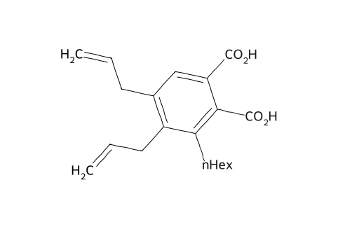 C=CCc1cc(C(=O)O)c(C(=O)O)c(CCCCCC)c1CC=C